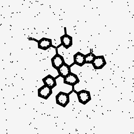 Cc1cccc(N(c2ccc(C(C)(C)C)cc2)c2ccc3c(-c4ccc5ccccc5c4)c4cc(N(c5ccccc5)c5ccccc5)ccc4c(-c4ccc5[nH]c6ccccc6c5c4)c3c2)c1